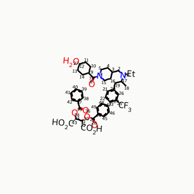 CCN(CC1CCN(C(=O)C2CCCCC2)CC1)C(C)Cc1cccc(C(F)(F)F)c1.O.O=C(O[C@@H](C(=O)O)[C@@H](OC(=O)c1ccccc1)C(=O)O)c1ccccc1